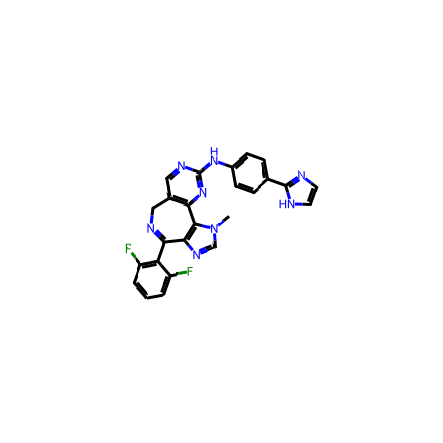 Cn1cnc2c1-c1nc(Nc3ccc(-c4ncc[nH]4)cc3)ncc1CN=C2c1c(F)cccc1F